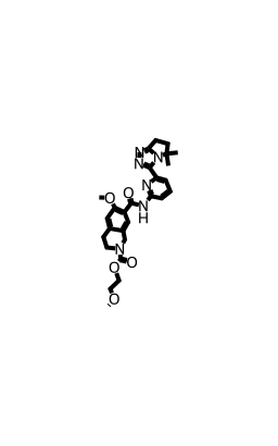 COCCOC(=O)N1CCc2cc(OC)c(C(=O)Nc3cccc(-c4nnc5n4C(C)(C)CC5)n3)cc2C1